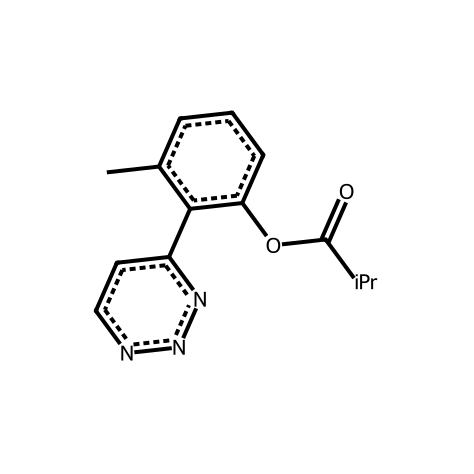 Cc1cccc(OC(=O)C(C)C)c1-c1ccnnn1